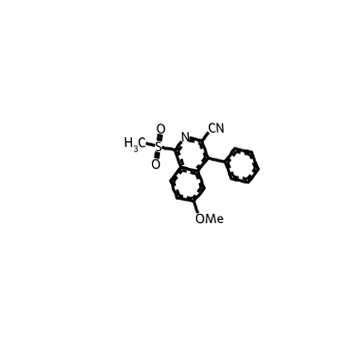 COc1ccc2c(S(C)(=O)=O)nc(C#N)c(-c3ccccc3)c2c1